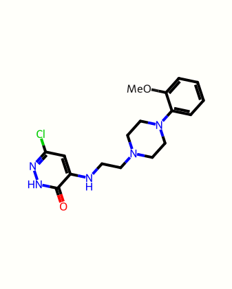 COc1ccccc1N1CCN(CCNc2cc(Cl)n[nH]c2=O)CC1